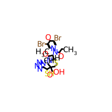 CCC(=O)N(C1C(=O)N2CC(C(=O)O)(C(S)c3nnnn3C)CS[C@H]12)n1cc(Br)c(=O)c(Br)c1C